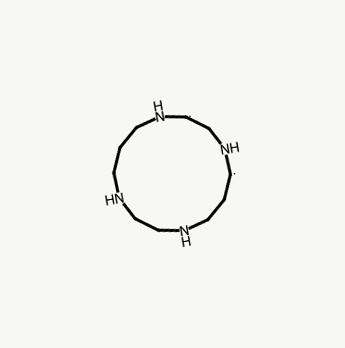 [CH]1CCNCCNCCCN[CH]CN1